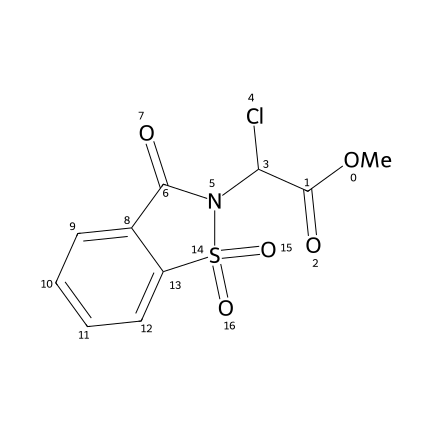 COC(=O)C(Cl)N1C(=O)c2ccccc2S1(=O)=O